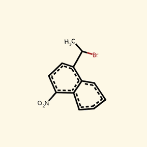 CC(Br)c1ccc([N+](=O)[O-])c2ccccc12